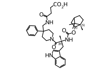 CC1(C)C2CC[C@]1(C)[C@H](OC(=O)N[C@](C)(Cc1c[nH]c3ccccc13)C(=O)N1CCC(CNC(=O)CCC(=O)O)(c3ccccc3)CC1)C2